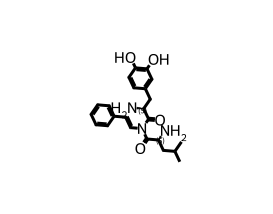 CC(C)C[C@H](N)C(=O)N(C=Cc1ccccc1)C(=O)[C@@H](N)Cc1ccc(O)c(O)c1